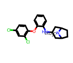 CCOC(=O)N1C2CCC1CC(Nc1ccccc1Oc1ccc(Cl)cc1Cl)C2